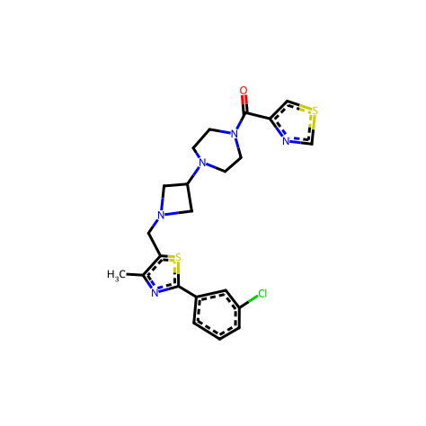 Cc1nc(-c2cccc(Cl)c2)sc1CN1CC(N2CCN(C(=O)c3cscn3)CC2)C1